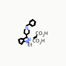 CCn1nc(C2CCN(Cc3ccccc3)CC2)c2ccccc21.O=C(O)C=CC(=O)O